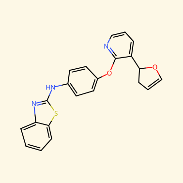 C1=COC(c2cccnc2Oc2ccc(Nc3nc4ccccc4s3)cc2)C1